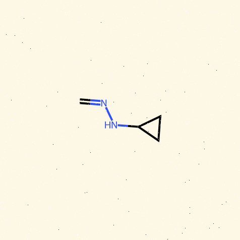 C=NNC1CC1